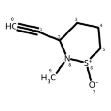 C#CC1CCC[S+]([O-])N1C